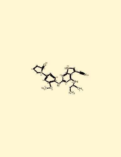 CCC(C)Nc1nc(Nc2ccc(N3CCCC3=O)cc2OC)nc2[nH]cc(C#N)c12